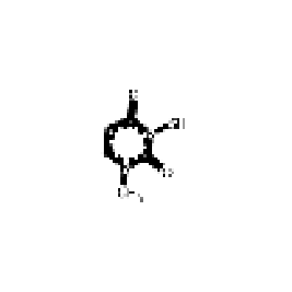 Cn1ccc(=O)n(S)c1=O